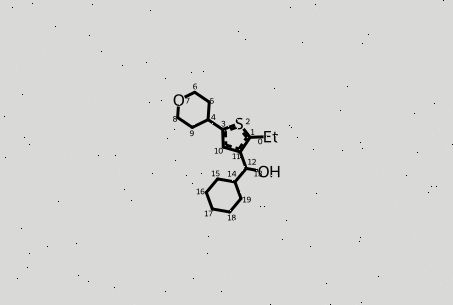 CCc1sc(C2CCOCC2)cc1C(O)C1CCCCC1